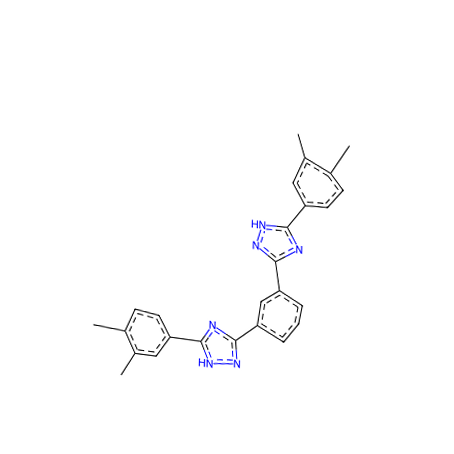 Cc1ccc(-c2nc(-c3cccc(-c4n[nH]c(-c5ccc(C)c(C)c5)n4)c3)n[nH]2)cc1C